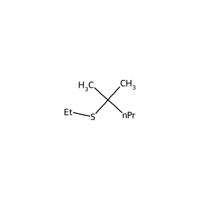 CCCC(C)(C)SCC